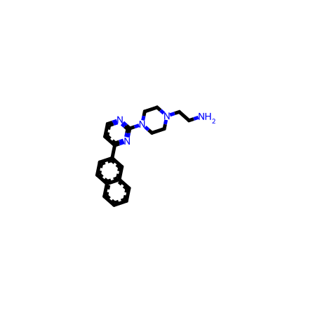 NCCN1CCN(c2nccc(-c3ccc4ccccc4c3)n2)CC1